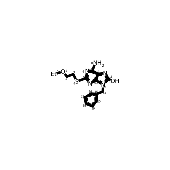 CCOCCSc1nc(N)c2nc(O)n(Cc3ccccc3)c2n1